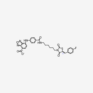 O=C(NCCCCCCN1C(=O)S/C(=C\c2ccc(F)cc2)C1=O)c1ccc(Nc2ccc([N+](=O)[O-])c3nonc23)cc1